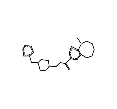 CN1CCCCCc2cc(C(=O)CCC3CCN(Cc4ccccc4)CC3)ccc21